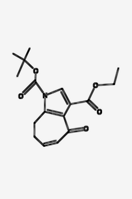 CCOC(=O)c1cn(C(=O)OC(C)(C)C)c2c1C(=O)C=CCC2